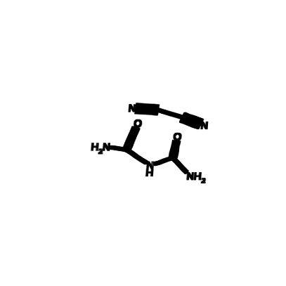 N#CC#N.NC(=O)NC(N)=O